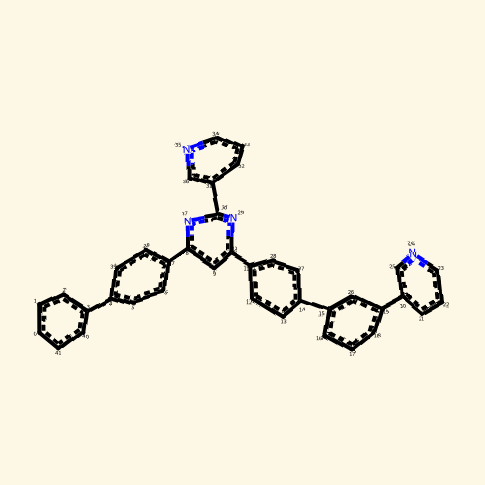 c1ccc(-c2ccc(-c3cc(-c4ccc(-c5cccc(-c6cccnc6)c5)cc4)nc(-c4cccnc4)n3)cc2)cc1